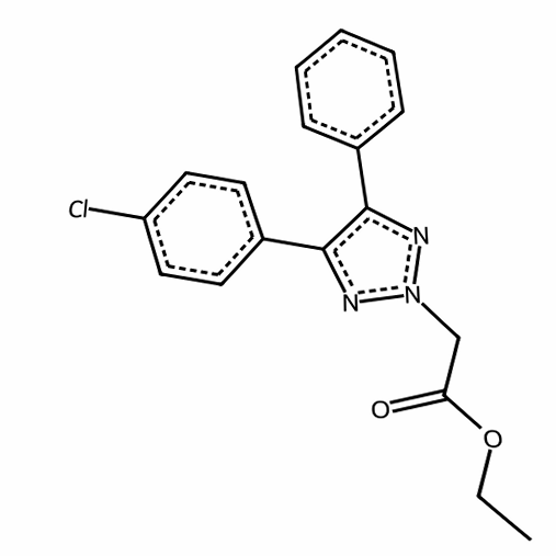 CCOC(=O)Cn1nc(-c2ccccc2)c(-c2ccc(Cl)cc2)n1